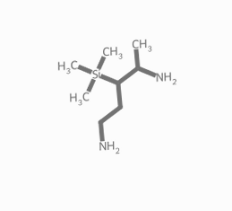 CC(N)C(CCN)[Si](C)(C)C